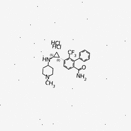 CN1CCC(N[C@H]2C[C@@H]2c2ccc(C(N)=O)c(-c3ccccc3)c2C(F)(F)F)CC1.Cl.Cl